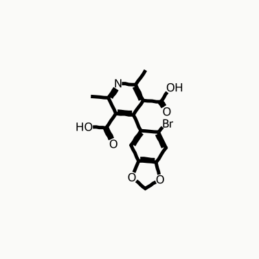 Cc1nc(C)c(C(=O)O)c(-c2cc3c(cc2Br)OCO3)c1C(=O)O